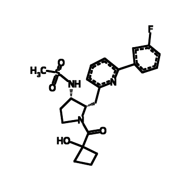 CS(=O)(=O)N[C@H]1CCN(C(=O)C2(O)CCC2)[C@H]1Cc1cccc(-c2cccc(F)c2)n1